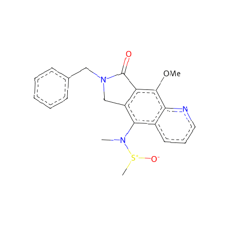 COc1c2c(c(N(C)[S+](C)[O-])c3cccnc13)CN(Cc1ccccc1)C2=O